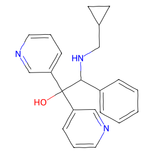 OC(c1cccnc1)(c1cccnc1)C(NCC1CC1)c1ccccc1